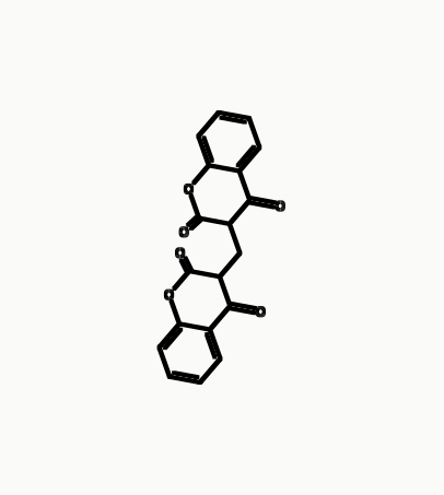 O=C1Oc2ccccc2C(=O)C1CC1C(=O)Oc2ccccc2C1=O